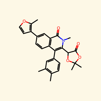 Cc1ccc(-c2c(C3OC(C)(C)OC3=O)n(C)c(=O)c3cc(-c4ccoc4C)ccc23)cc1C